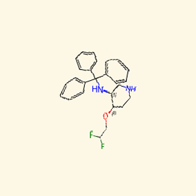 FC(F)CO[C@@H]1CCNC[C@@H]1NC(c1ccccc1)(c1ccccc1)c1ccccc1